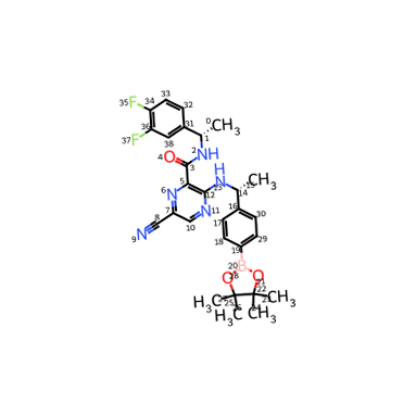 C[C@H](NC(=O)c1nc(C#N)cnc1N[C@H](C)c1ccc(B2OC(C)(C)C(C)(C)O2)cc1)c1ccc(F)c(F)c1